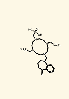 O=C(O)CN1CCN(CC2CCCC(=O)c3ccccc32)CCN(CC(=O)O)CCN(CP(=O)(O)O)CC1